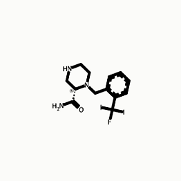 NC(=O)[C@@H]1CNCCN1Cc1ccccc1C(F)(I)I